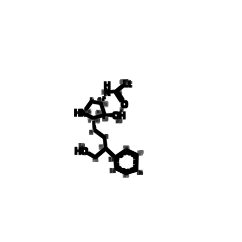 CCC(=O)N[C@H]1CN[C@@H](CCC(CO)c2ccccc2)[C@@H]1O